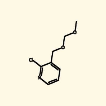 COCOCc1cccnc1Cl